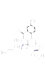 CC(C)c1ccc2c(c1)C(=O)C(O)C1[C@@](C)(/C=N/OCCCN)CCC[C@]21C.O=C(O)/C=C/C(=O)O